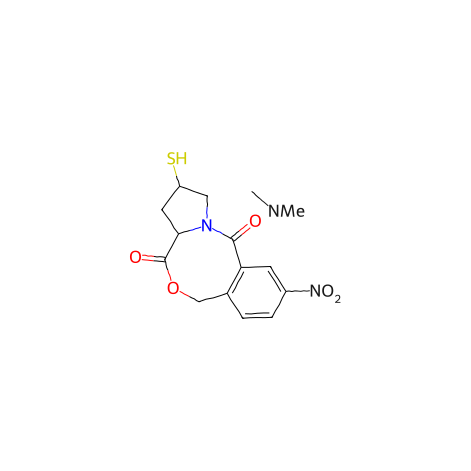 CNC.O=C1OCc2ccc([N+](=O)[O-])cc2C(=O)N2CC(S)CC12